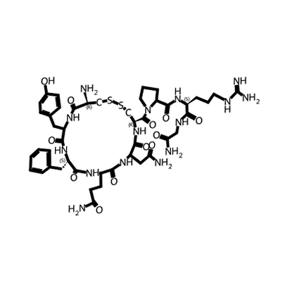 N=C(N)NCCC[C@H](NC(=O)C1CCCN1C(=O)[C@@H]1CSSC[C@H](N)C(=O)NC(Cc2ccc(O)cc2)C(=O)N[C@@H](Cc2ccccc2)C(=O)NC(CCC(N)=O)C(=O)NC(CC(N)=O)C(=O)N1)C(=O)NCC(N)=O